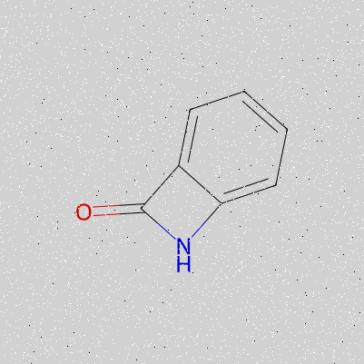 O=C1Nc2ccccc21